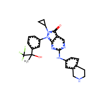 CC(O)(c1cccc(-n2c3nc(Nc4ccc5c(c4)CNCC5)ncc3c(=O)n2C2CC2)c1)C(F)(F)F